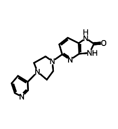 O=c1[nH]c2ccc(N3CCN(c4cccnc4)CC3)nc2[nH]1